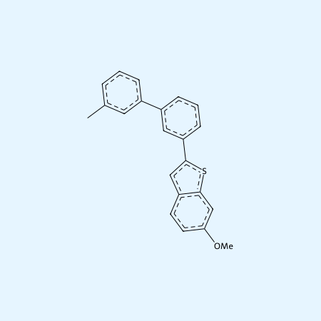 COc1ccc2cc(-c3cccc(-c4cccc(C)c4)c3)sc2c1